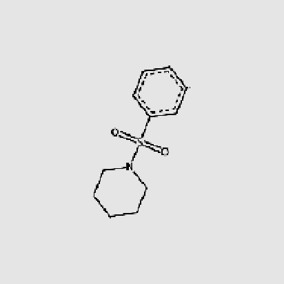 O=S(=O)(c1c[c]ccc1)N1CCCCC1